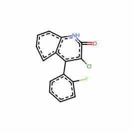 O=c1[nH]c2ccccc2c(-c2ccccc2F)c1Cl